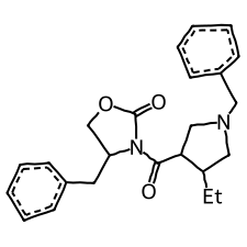 CCC1CN(Cc2ccccc2)CC1C(=O)N1C(=O)OCC1Cc1ccccc1